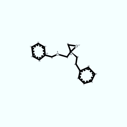 c1ccc(CC[C@@]2(COCc3ccccc3)CO2)cc1